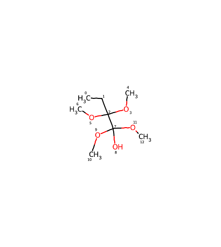 CCC(OC)(OC)C(O)(OC)OC